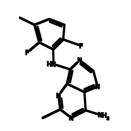 Cc1nc(N)c2ncnc(Nc3c(F)ccc(C)c3F)c2n1